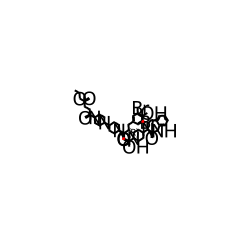 CCOC(=O)CCC(=O)N1CCN(C2CCN(C(=O)C(Cc3cc(Br)c(O)c(Br)c3)[C@H]3CC(N4CCc5ccccc5NC4=O)CCN3C(=O)O)CC2)CC1